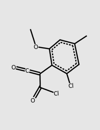 COc1cc(C)cc(Cl)c1C(=C=O)C(=O)Cl